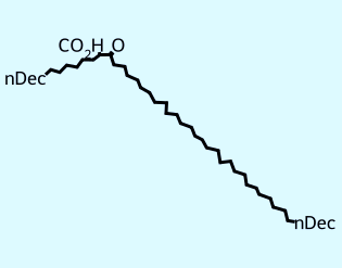 CCCCCCCCCCCCCCCCCCCCCCCCCCCCCCCCCCCCCC(=O)C(CCCCCCCCCCCCCCCC)C(=O)O